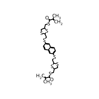 C=C(C)C(=O)SCC1CSC(CSc2ccc3cc(SCC4SCC(CSC(=O)C(=C)C)S4)ccc3c2)S1